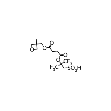 CC1(COC(=O)CCC(=O)OC(CS(=O)(=O)O)(C(F)(F)F)C(F)(F)F)COC1